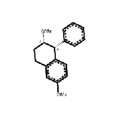 CN[C@H]1CCc2cc(OC)ccc2[C@H]1c1ccccc1